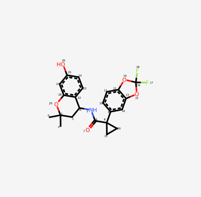 CC1(C)CC(NC(=O)C2(c3ccc4c(c3)OC(F)(F)O4)CC2)c2ccc(O)cc2O1